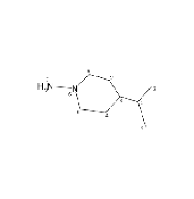 CC(C)C1CCN(N)CC1